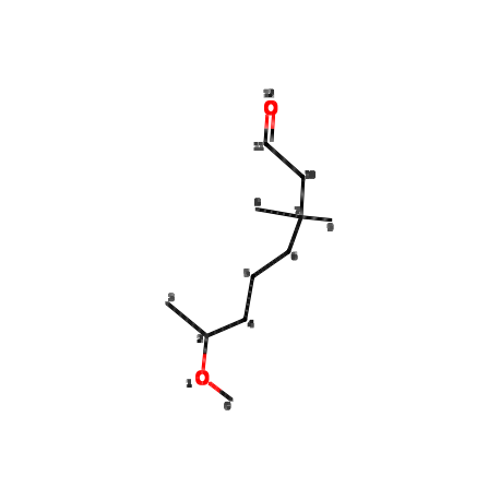 COC(C)CCCC(C)(C)CC=O